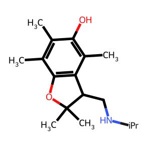 Cc1c(C)c2c(c(C)c1O)C(CNC(C)C)C(C)(C)O2